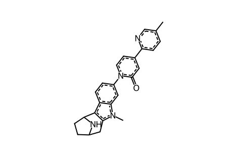 Cc1ccc(-c2ccn(-c3ccc4c5c(n(C)c4c3)CC3CCC5N3)c(=O)c2)nc1